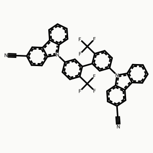 N#Cc1ccc2c(c1)c1ccccc1n2-c1ccc(C(F)(F)F)c(-c2cc(-n3c4ccccc4c4cc(C#N)ccc43)ccc2C(F)(F)F)c1